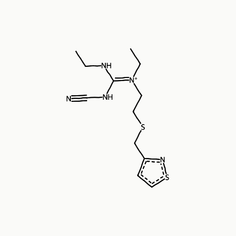 CCNC(NC#N)=[N+](CC)CCSCc1ccsn1